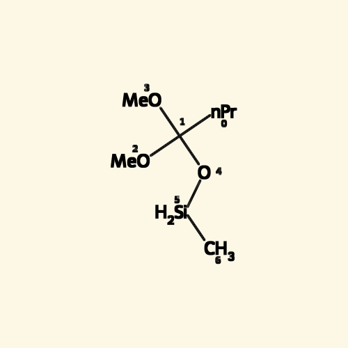 CCCC(OC)(OC)O[SiH2]C